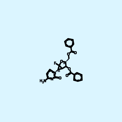 Nc1ccn([C@H]2C3C(OC(=O)c4ccccc4)[C@@H](COC(=O)c4ccccc4)OC32F)c(=O)n1